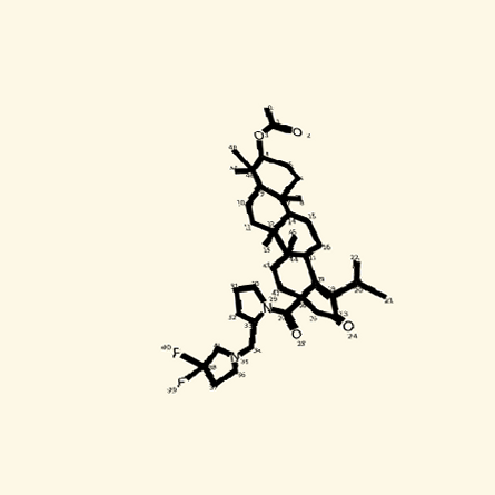 CC(=O)OC1CCC2(C)C(CCC3(C)C2CCC2C4=C(C(C)C)C(=O)CC4(C(=O)N4CCCC4CN4CCC(F)(F)C4)CCC23C)C1(C)C